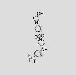 O=S(=O)(c1ccc(N2CC[C@H](O)C2)cc1)N1CCC(Nc2ccc(C(F)(F)F)cn2)CC1